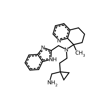 CC1(N(CCC2(CN)CC2)Cc2nc3ccccc3[nH]2)CCCc2cccnc21